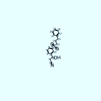 N#CCC(O)c1cccc(S(=O)(=O)CCCc2ccccc2)c1